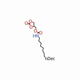 CCCCCCCCCCCCCCCCCCNC(=O)OCC1COC(=O)O1